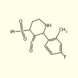 Cc1cc(F)ccc1C1NCCC(S(=O)(=O)C(C)C)C1=C=O